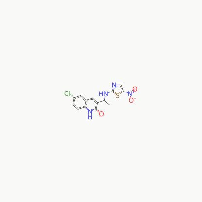 CC(Nc1ncc([N+](=O)[O-])s1)c1cc2cc(Cl)ccc2[nH]c1=O